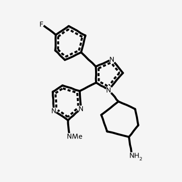 CNc1nccc(-c2c(-c3ccc(F)cc3)ncn2C2CCC(N)CC2)n1